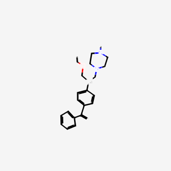 C=C(c1ccccc1)c1ccc([SiH](COCC)CN2CCN(C)CC2)cc1